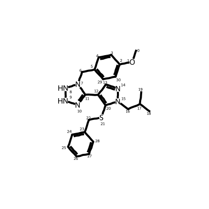 COc1ccc(CN2NNN=C2c2cnn(CC(C)C)c2SCc2ccccc2)cc1